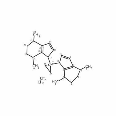 CC1CCC(C)C2=C1C=C[CH]2[Zr+2]1([CH]2C=CC3=C2C(C)CCC3C)[CH2][CH2]1.[Cl-].[Cl-]